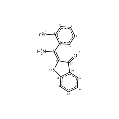 CCCc1ccccc1C(N)=C1Sc2ccccc2C1=O